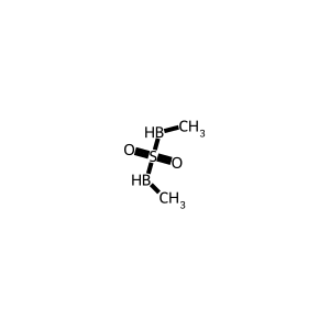 CBS(=O)(=O)BC